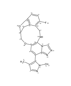 Cc1cnn(C)c1-c1cc2c(n3cnnc13)NCc1c(F)ccc3c1CC(CO2)O3